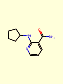 NC(=O)c1cccnc1NC1CCCC1